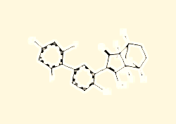 CCc1ccc(-c2c(F)cc(Cl)cc2F)cc1C1=C(O)[C@H]2[C@H]3CC[C@H](CC3)[C@H]2C1=O